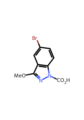 COc1nn(C(=O)O)c2ccc(Br)cc12